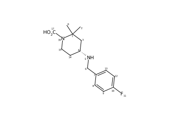 CC1(C)C[C@H](NCc2ccc(F)cc2)CCN1C(=O)O